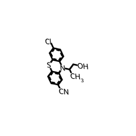 CC(CO)N1c2ccc(Cl)cc2Sc2ccc(C#N)cc21